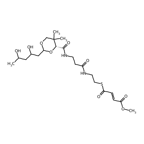 COC(=O)/C=C/C(=O)SCCNC(=O)CCNC(=O)[C@@H]1OC(CC(O)CC(C)O)OCC1(C)C